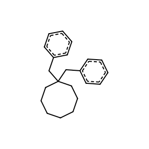 c1ccc(CC2(Cc3ccccc3)CCCCCCC2)cc1